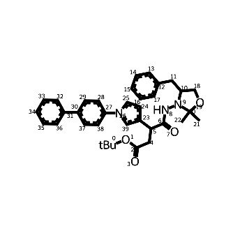 CC(C)(C)OC(=O)CC(C(=O)NN1C(Cc2ccccc2)COC1(C)C)c1ccn(-c2ccc(-c3ccccc3)cc2)c1